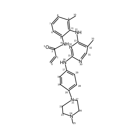 C=CC(=O)Nc1cccc(C)c1Nc1nc(Nc2ccc(N3CCN(C)CC3)cc2)ncc1C